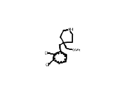 COCC1(Cc2cccc(Cl)c2Cl)CCNCC1